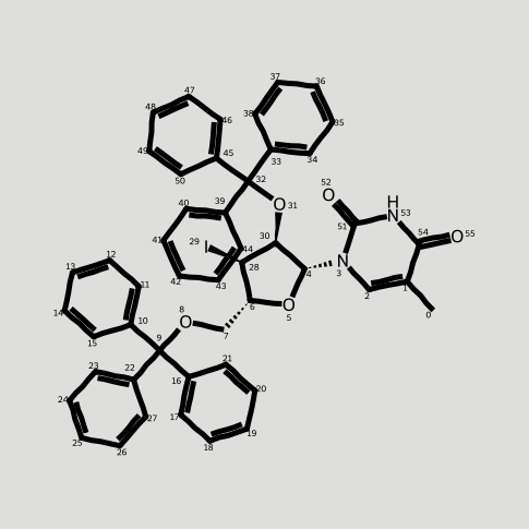 Cc1cn([C@@H]2O[C@H](COC(c3ccccc3)(c3ccccc3)c3ccccc3)[C@@H](I)[C@H]2OC(c2ccccc2)(c2ccccc2)c2ccccc2)c(=O)[nH]c1=O